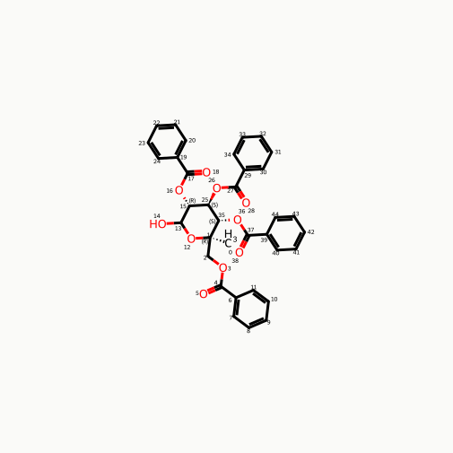 C[C@]1(COC(=O)c2ccccc2)OC(O)[C@H](OC(=O)c2ccccc2)[C@@H](OC(=O)c2ccccc2)[C@@H]1OC(=O)c1ccccc1